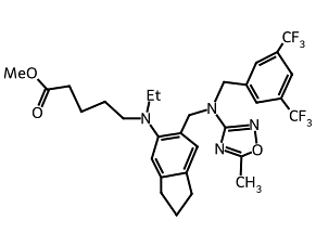 CCN(CCCCC(=O)OC)c1cc2c(cc1CN(Cc1cc(C(F)(F)F)cc(C(F)(F)F)c1)c1noc(C)n1)CCC2